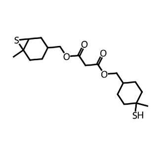 CC1(S)CCC(COC(=O)CC(=O)OCC2CCC3(C)SC3C2)CC1